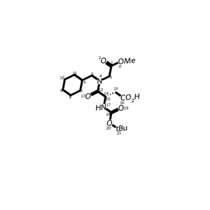 COC(=O)CN(CC1CCCCC1)C(=O)[C@H](CC(=O)O)NC(=O)OC(C)(C)C